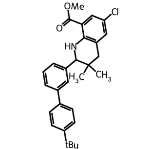 COC(=O)c1cc(Cl)cc2c1NC(c1cccc(-c3ccc(C(C)(C)C)cc3)c1)C(C)(C)C2